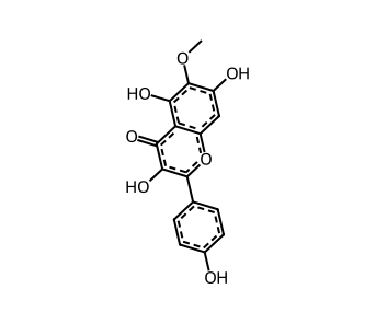 COc1c(O)cc2oc(-c3ccc(O)cc3)c(O)c(=O)c2c1O